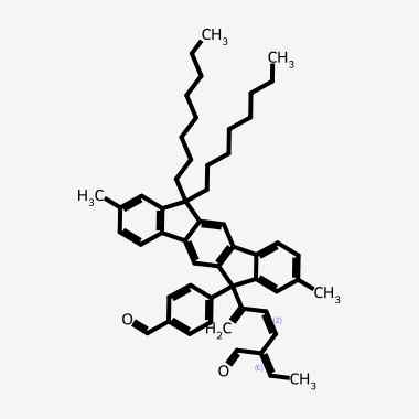 C=C(/C=C\C(C=O)=C/C)C1(c2ccc(C=O)cc2)c2cc(C)ccc2-c2cc3c(cc21)-c1ccc(C)cc1C3(CCCCCCCC)CCCCCCCC